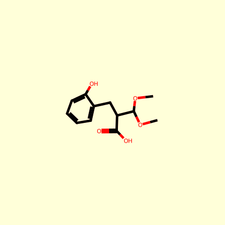 COC(OC)C(Cc1ccccc1O)C(=O)O